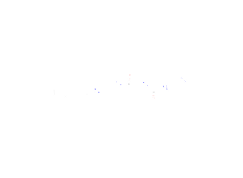 O=C(O)CCN1CCN(C(=O)CNC(=O)N2CCNCC2)CC1